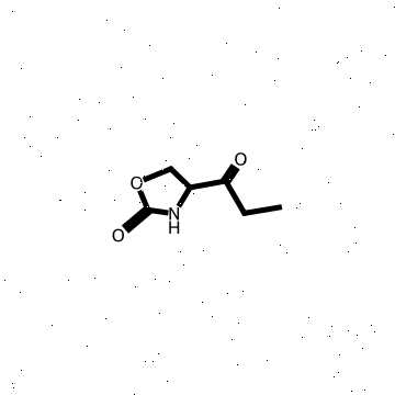 CCC(=O)C1COC(=O)N1